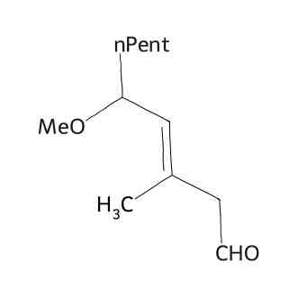 CCCCCC(/C=C(\C)CC=O)OC